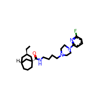 CC[C@@H]1C[C@@H]2CCC[C@](C(=O)NCCCCN3CCN(c4cccc(F)n4)CC3)(C1)C2